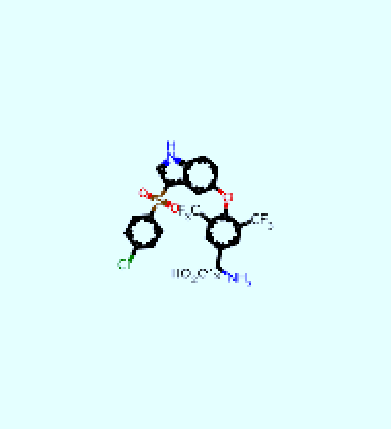 N[C@H](C(=O)O)c1cc(C(F)(F)F)c(Oc2ccc3[nH]cc(S(=O)(=O)c4ccc(Cl)cc4)c3c2)c(C(F)(F)F)c1